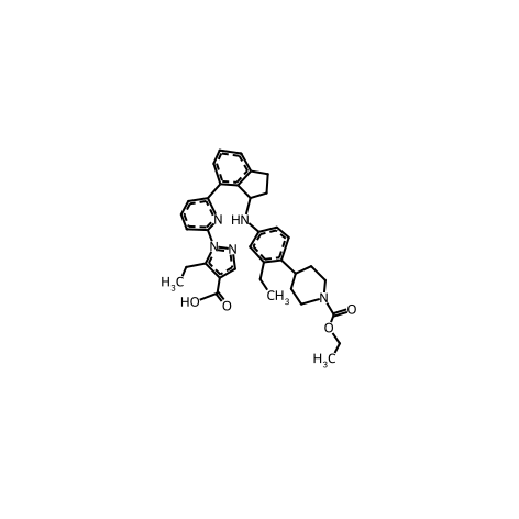 CCOC(=O)N1CCC(c2ccc(NC3CCc4cccc(-c5cccc(-n6ncc(C(=O)O)c6CC)n5)c43)cc2CC)CC1